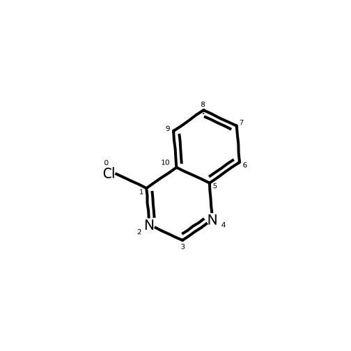 Clc1ncnc2cc[c]cc12